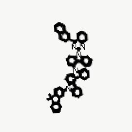 CC1(C)c2ccccc2-c2cc(-n3c4ccccc4c4c5c6ccccc6n(-c6cccc7c6c6ccccc6n7-c6nc(-c7ccc8ccccc8c7)c7ccccc7n6)c5ccc43)ccc21